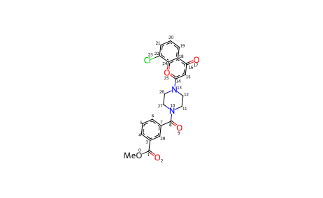 COC(=O)c1cccc(C(=O)N2CCN(c3cc(=O)c4cccc(Cl)c4o3)CC2)c1